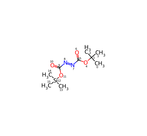 CC(C)(C)OC(=O)N=NC(=O)O[Si](C)(C)C